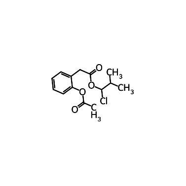 CC(=O)Oc1ccccc1CC(=O)OC(Cl)C(C)C